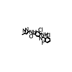 Cc1cc(NC(=O)c2cc(Cl)c3[nH]c(-c4c(F)cccc4Cl)nc3c2)n(C)n1